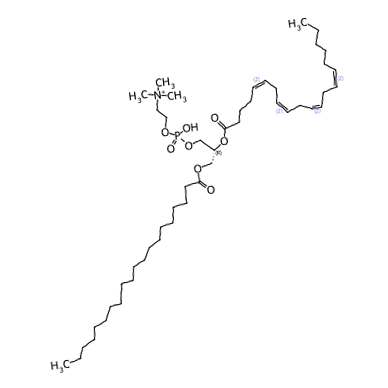 CCCCC/C=C\C/C=C\C/C=C\C/C=C\CCCC(=O)O[C@H](COC(=O)CCCCCCCCCCCCCCCCCCC)COP(=O)(O)OCC[N+](C)(C)C